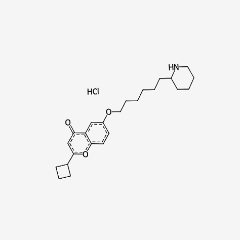 Cl.O=c1cc(C2CCC2)oc2ccc(OCCCCCCC3CCCCN3)cc12